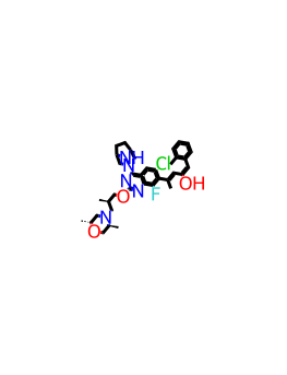 C/C(=C\C(O)=C/c1ccccc1C)c1c(Cl)cc2c(N3CC4CCC(C3)N4)nc(OC[C@H](C)CN3C[C@@H](C)OC[C@@H]3C)nc2c1F